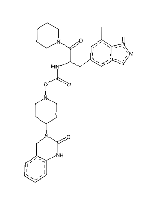 Cc1cc(CC(NC(=O)ON2CCC(N3Cc4ccccc4NC3=O)CC2)C(=O)N2CCCCC2)cc2cn[nH]c12